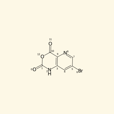 O=c1[nH]c2cc(Br)cnc2c(=O)o1